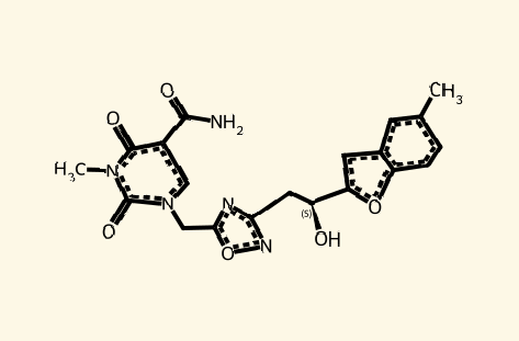 Cc1ccc2oc([C@@H](O)Cc3noc(Cn4cc(C(N)=O)c(=O)n(C)c4=O)n3)cc2c1